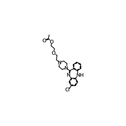 CC(=O)OCCOCCN1CCN(C2=Nc3cc(Cl)ccc3Nc3ccccc32)CC1